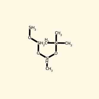 C[SiH](O[SiH2]O[SiH3])O[Si](C)(C)C